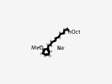 CCCCCCCC/C=C\CCCCCCCCc1ccccc1OC.[Na]